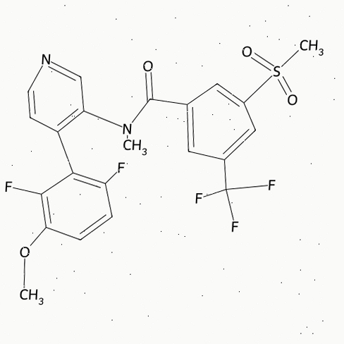 COc1ccc(F)c(-c2ccncc2N(C)C(=O)c2cc(C(F)(F)F)cc(S(C)(=O)=O)c2)c1F